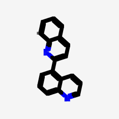 [c]1cccc2ccc(-c3cccc4ncccc34)nc12